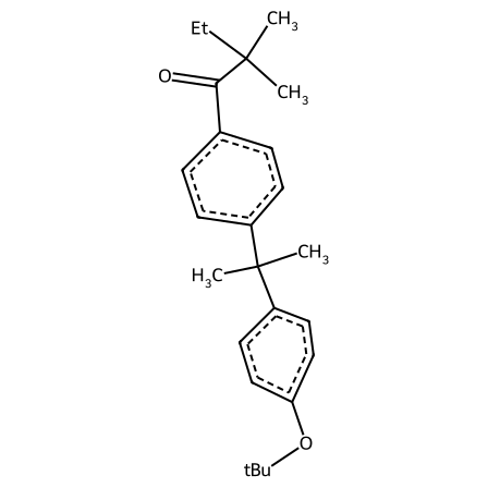 CCC(C)(C)C(=O)c1ccc(C(C)(C)c2ccc(OC(C)(C)C)cc2)cc1